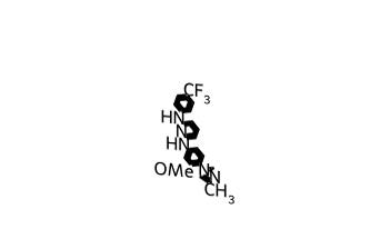 COc1cc(Nc2cccc(Nc3ccc(C(F)(F)F)cc3)n2)ccc1-n1cnc(C)c1